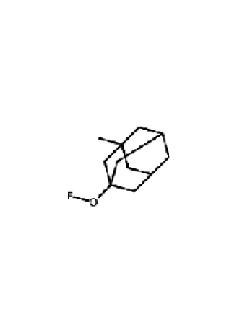 CC12CC3CC(C1)CC(OF)(C3)C2